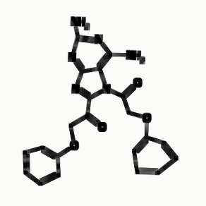 Nc1nc(N)c2c(n1)nc(C(=O)COc1ccccc1)n2C(=O)COc1ccccc1